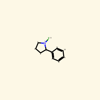 FN1CCCC1c1ccccc1